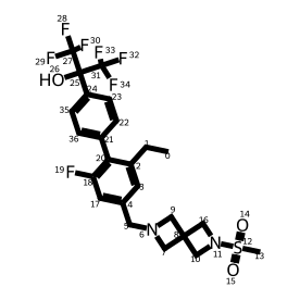 CCc1cc(CN2CC3(C2)CN(S(C)(=O)=O)C3)cc(F)c1-c1ccc(C(O)(C(F)(F)F)C(F)(F)F)cc1